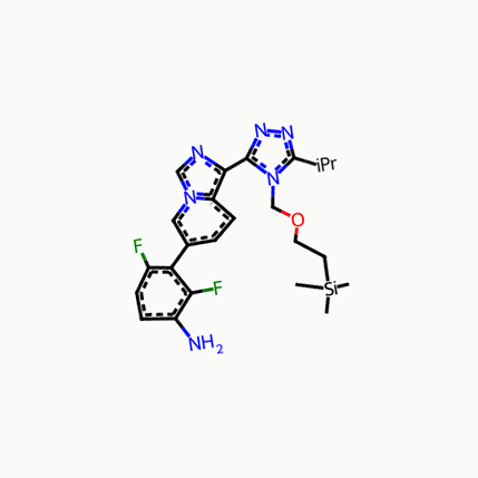 CC(C)c1nnc(-c2ncn3cc(-c4c(F)ccc(N)c4F)ccc23)n1COCC[Si](C)(C)C